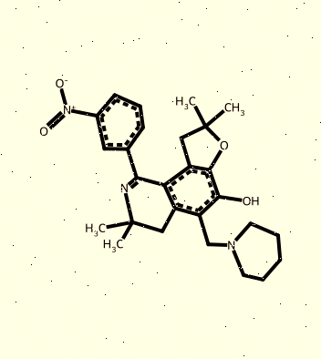 CC1(C)Cc2c(CN3CCCCC3)c(O)c3c(c2C(c2cccc([N+](=O)[O-])c2)=N1)CC(C)(C)O3